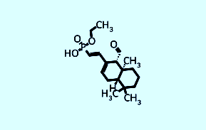 CCOP(=O)(O)/C=C/C1=CC[C@H]2C(C)(C)CCC[C@]2(C)[C@H]1C=O